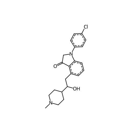 CN1CCC(C(O)Cc2cccc3c2C(=O)CN3c2ccc(Cl)cc2)CC1